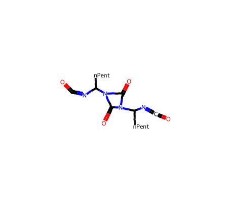 CCCCCC(N=C=O)N1C(=O)N(C(CCCCC)N=C=O)C1=O